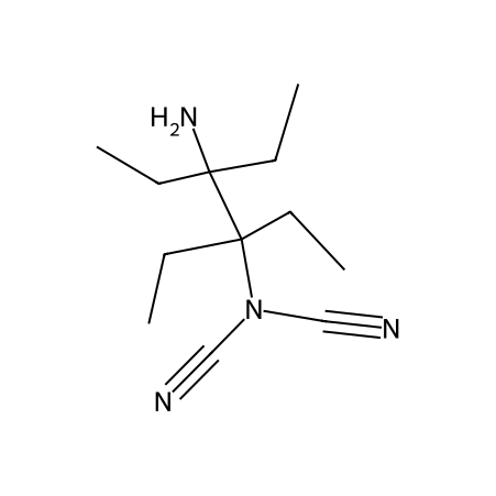 CCC(N)(CC)C(CC)(CC)N(C#N)C#N